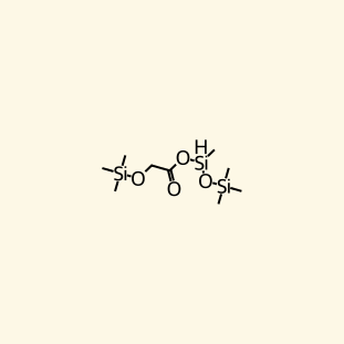 C[SiH](OC(=O)CO[Si](C)(C)C)O[Si](C)(C)C